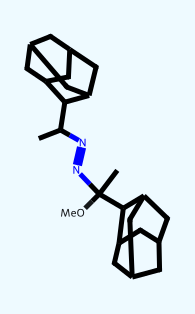 COC(C)(N=NC(C)C1C2CC3CC(C2)CC1C3)C1C2CC3CC(C2)CC1C3